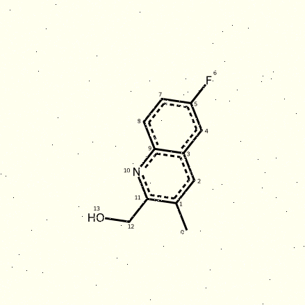 Cc1cc2cc(F)ccc2nc1CO